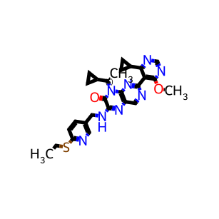 CCSc1ccc(CNc2nc3cnc(-c4c(OC)ncnc4C4CC4)nc3n([C@@H](C)C3CC3)c2=O)cn1